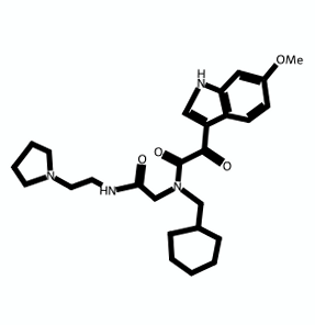 COc1ccc2c(C(=O)C(=O)N(CC(=O)NCCN3CCCC3)CC3CCCCC3)c[nH]c2c1